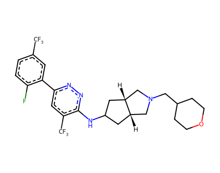 Fc1ccc(C(F)(F)F)cc1-c1cc(C(F)(F)F)c(NC2C[C@@H]3CN(CC4CCOCC4)C[C@@H]3C2)nn1